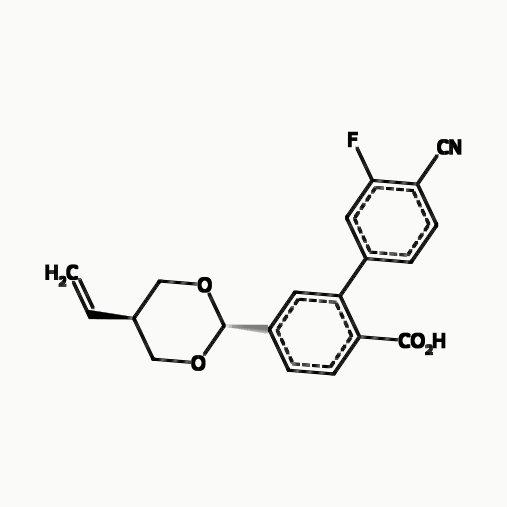 C=C[C@H]1CO[C@H](c2ccc(C(=O)O)c(-c3ccc(C#N)c(F)c3)c2)OC1